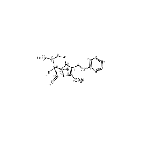 O=C(O)C1=C(CSc2ccncc2)C2CCN(C(=O)O)[C@@H]3C(=O)N1[C@H]23